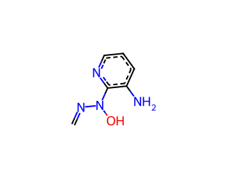 C=NN(O)c1ncccc1N